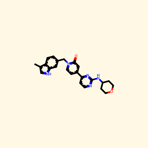 Cc1c[nH]c2cc(Cn3ccc(-c4ccnc(NC5CCOCC5)n4)cc3=O)ccc12